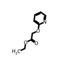 CCOC(=O)COc1ccccn1